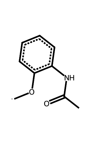 [CH2]Oc1ccccc1NC(C)=O